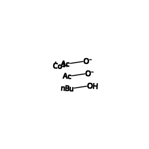 CC(=O)[O-].CC(=O)[O-].CCCCO.[Co+2]